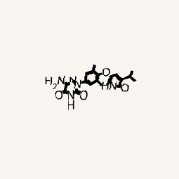 Cc1cc(-n2nc(N)c(=O)[nH]c2=O)cc(C)c1Oc1c[nH]c(=O)c(C(C)C)c1